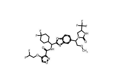 COCC(c1ccc2oc(C(NC(=O)c3nocc3OCC(F)F)C3CCC(F)(F)CC3)nc2c1)N1CC(C(F)(F)F)NC1=O